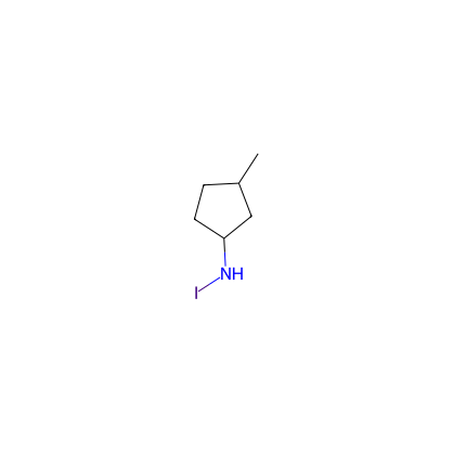 CC1CCC(NI)C1